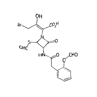 O=COc1ccccc1CC(=O)NC1C(=O)N(/C(C(=O)O)=C(/O)CBr)C1SC=O